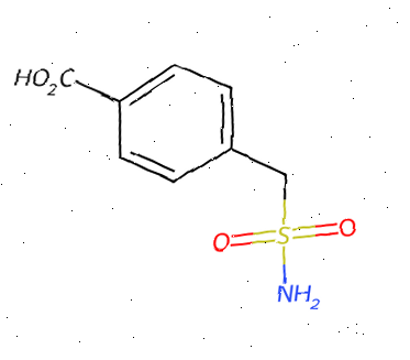 NS(=O)(=O)Cc1ccc(C(=O)O)cc1